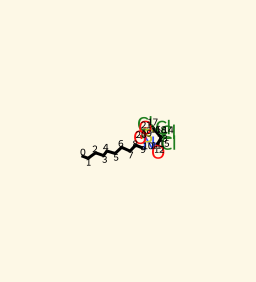 CCCCCCCCCCN1C(=O)C(Cl)(Cl)C(Cl)(Cl)S1(=O)=O